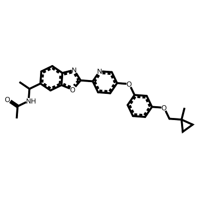 CC(=O)NC(C)c1ccc2nc(-c3ccc(Oc4cccc(OCC5(C)CC5)c4)cn3)oc2c1